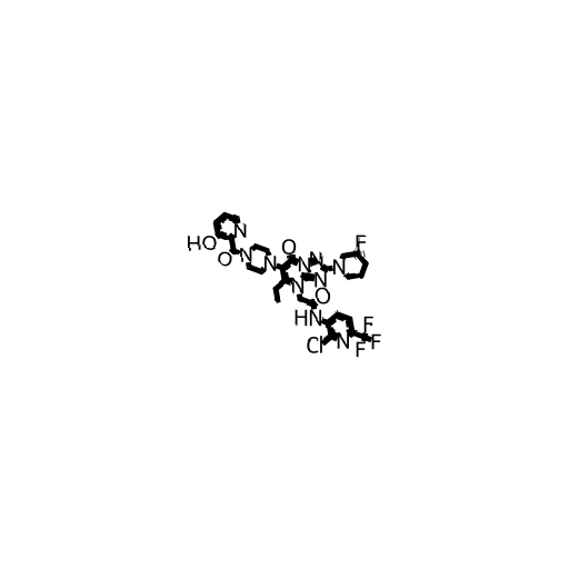 CCc1c(N2CCN(C(=O)c3ncccc3O)CC2)c(=O)n2nc(N3CCC[C@@H](F)C3)nc2n1CC(=O)Nc1ccc(C(F)(F)F)nc1Cl